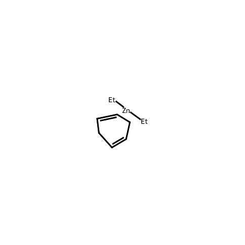 C1=CCC=CC1.C[CH2][Zn][CH2]C